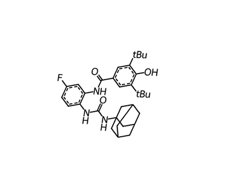 CC(C)(C)c1cc(C(=O)Nc2cc(F)ccc2NC(=O)NC23CC4CC(CC(C4)C2)C3)cc(C(C)(C)C)c1O